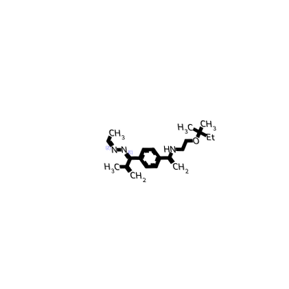 C=C(C)/C(=N\N=C/C)c1ccc(C(=C)NCCOC(C)(C)CC)cc1